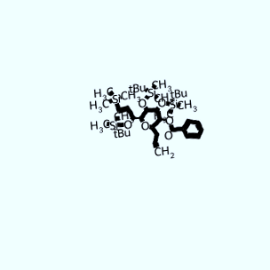 C=CCC1O[C@@H](C(/C=C/[Si](C)(C)C)O[Si](C)(C)C(C)(C)C)C(O[Si](C)(C)C(C)(C)C)C(O[Si](C)(C)C(C)(C)C)[C@H]1OC(=O)c1ccccc1